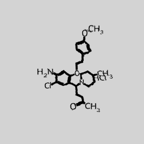 COc1ccc(CCOc2cc(N)c(Cl)cc2C(CCC(C)=O)N2CCC(C)CC2)cc1.Cl